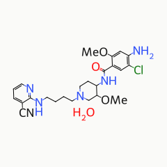 COc1cc(N)c(Cl)cc1C(=O)NC1CCN(CCCCNc2ncccc2C#N)CC1OC.O